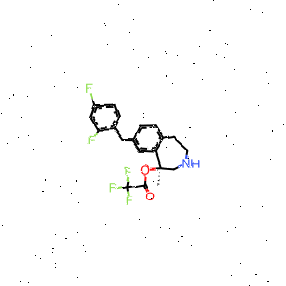 C[C@@]1(OC(=O)C(F)(F)F)CNCCc2ccc(Cc3ccc(F)cc3F)cc21